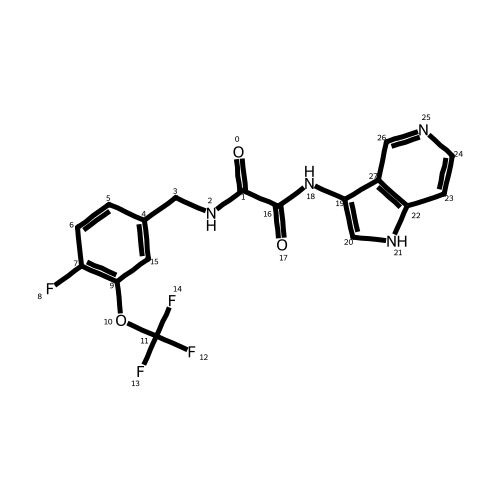 O=C(NCc1ccc(F)c(OC(F)(F)F)c1)C(=O)Nc1c[nH]c2ccncc12